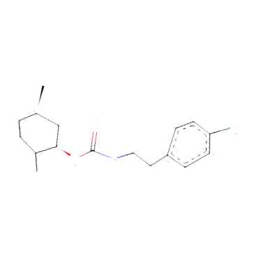 CC(C)C1CC[C@@H](C)C[C@H]1OC(=O)NCCc1ccc(Br)cc1